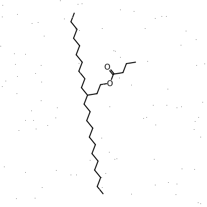 CCCCCCCCCCCCC(CCCCCCCCCC)CCOC(=O)CCC